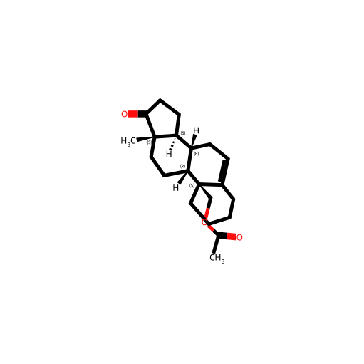 CC(=O)OC[C@]12CCCCC1=CC[C@@H]1[C@H]2CC[C@]2(C)C(=O)CC[C@@H]12